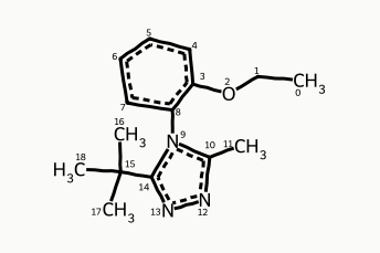 CCOc1ccccc1-n1c(C)nnc1C(C)(C)C